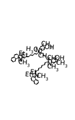 CCC1(CC)C(=CC=CC=CC=CC2=[N+](C)c3cc(C)c(O)cc3C2(C)CCCCC2(C)C(C=CC=CC=CC=C3N(C)c4c(ccc5ccccc45)C3(CC)CC)=[N+](C)c3cc(C)c(O)cc32)N(C)c2c1ccc1ccccc21